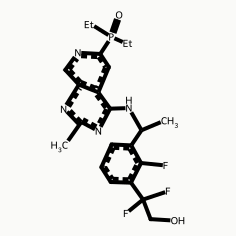 CCP(=O)(CC)c1cc2c(NC(C)c3cccc(C(F)(F)CO)c3F)nc(C)nc2cn1